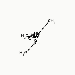 CCCCCCCCCCCCCCCCNc1ccc(CC(C(=O)Oc2cncc(C(=O)OCC)c2)c2ccc(NCCCCCCCCCCCCC)cc2)cc1